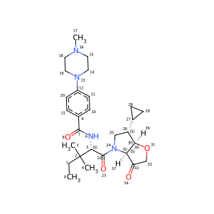 CCC(C)(C)[C@H](NC(=O)c1ccc(N2CCN(C)CC2)cc1)C(=O)N1C[C@H](C2CC2)[C@H]2OCC(=O)[C@H]21